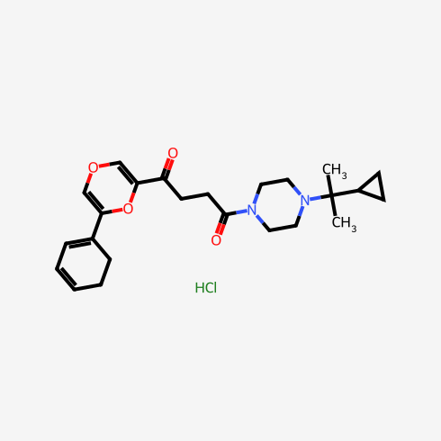 CC(C)(C1CC1)N1CCN(C(=O)CCC(=O)C2=COC=C(C3=CC=CCC3)O2)CC1.Cl